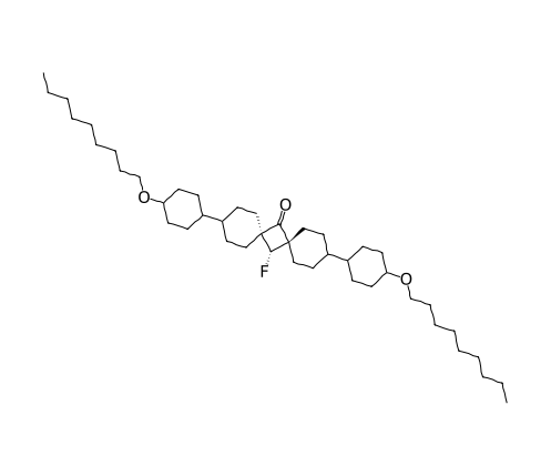 CCCCCCCCCOC1CCC(C2CC[C@]3(CC2)C(=O)[C@@]2(CCC(C4CCC(OCCCCCCCCC)CC4)CC2)[C@H]3F)CC1